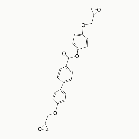 O=C(Oc1ccc(OCC2CO2)cc1)c1ccc(-c2ccc(OCC3CO3)cc2)cc1